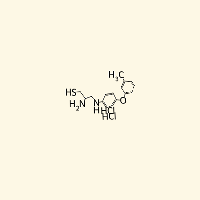 Cc1cccc(Oc2ccc(NC[C@@H](N)CS)cc2)c1.Cl.Cl